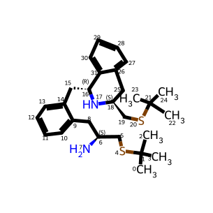 CC(C)(C)SC[C@@H](N)Cc1ccccc1C[C@H]1N[C@H](CSC(C)(C)C)Cc2ccccc21